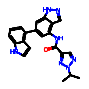 CC(C)n1ncc(C(=O)Nc2cc(-c3cccc4[nH]ccc34)cc3[nH]ncc23)n1